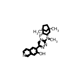 CN(c1ncc(-c2cc3ccncc3cc2O)nn1)[C@H]1C[C@]2(C)CC[C@@](C)(C2)[C@H]1F